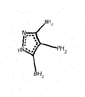 Bc1n[nH]c(B)c1P